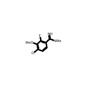 CNC(=N)c1ccc(Cl)c(OC)c1F